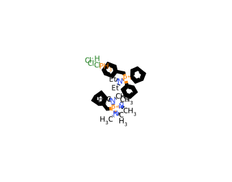 CCN(CC)[P+](Cc1ccccc1)(c1ccccc1)c1ccccc1.CN(C)[P+](Cc1ccccc1)(N(C)C)N(C)C.Cl.P.[Cl-].[Cl-]